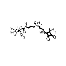 CC1C(=O)C(=O)C1NCCCN(C)CCCNC(=O)OC(C)(C)C